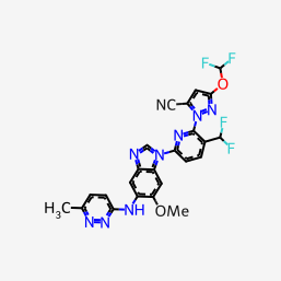 COc1cc2c(cc1Nc1ccc(C)nn1)ncn2-c1ccc(C(F)F)c(-n2nc(OC(F)F)cc2C#N)n1